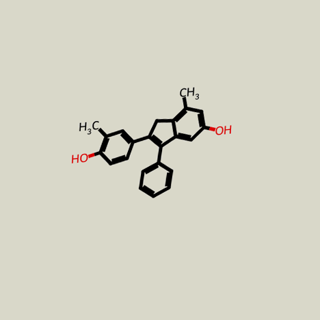 Cc1cc(C2=C(c3ccccc3)c3cc(O)cc(C)c3C2)ccc1O